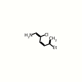 C=C(/C=C\C(Cl)=C/N)CC